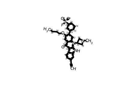 C#Cc1ccc2c(c1)[nH]c1c2c(=O)c2cc(OCCCC)c(-c3cccc(S(=O)(=O)F)c3)cc2n1C1CN(C)C1